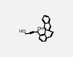 OCC#CC(O)c1cccc2ccc3cc4ccccc4cc3c12